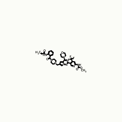 C=CC(=O)Nc1ccccc1C(=O)N1CCN(Cc2cc3c(N4CCOCC4)nc(-c4cnc(NC(=O)OC)cc4C(F)(F)F)nn3c2)CC1